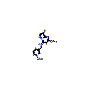 COc1cc(NCc2ccc[n+](OC)c2)n2ncc(Br)c2n1